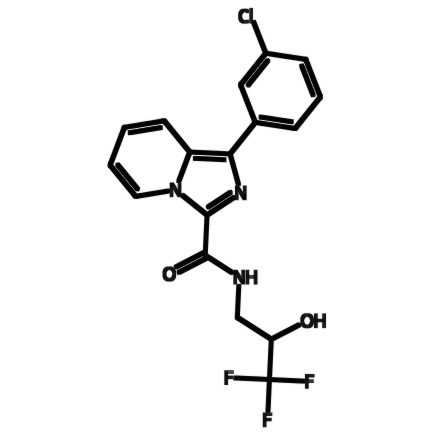 O=C(NCC(O)C(F)(F)F)c1nc(-c2cccc(Cl)c2)c2ccccn12